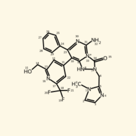 Cn1ccnc1Cn1[nH]c2c(-c3cc(CO)nc(C(F)(F)F)c3)c(-c3ccccc3)nc(N)[n+]2c1=O